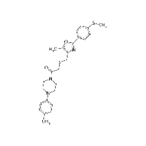 CSc1ccc(-c2nc(CSCC(=O)N3CCN(c4ccc(C)cc4)CC3)c(C)o2)cc1